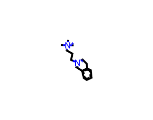 C[N+](C)(C)CCC[N+]1=Cc2ccccc2CC1